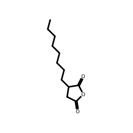 CCCCCCCCC1CC(=O)OC1=O